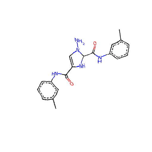 Cc1cccc(NC(=O)C2=CN(N)C(C(=O)Nc3cccc(C)c3)N2)c1